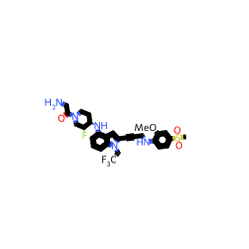 COc1cc(S(C)(=O)=O)ccc1NCC#Cc1cc2c(N[C@H]3CCN(C(=O)CN)C[C@H]3F)cccc2n1CC(F)(F)F